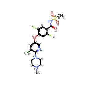 CCN1CCN(c2ncc(Oc3cc(F)c(C(=O)NS(C)(=O)=O)cc3F)cc2Cl)CC1